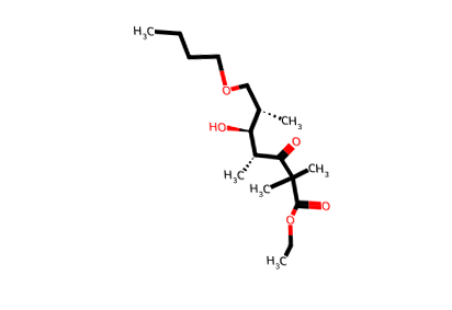 CCCCOC[C@H](C)[C@H](O)[C@@H](C)C(=O)C(C)(C)C(=O)OCC